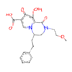 COCCN1CC(CCc2ccccc2)n2cc(C(=O)O)c(=O)c(O)c2C1=O